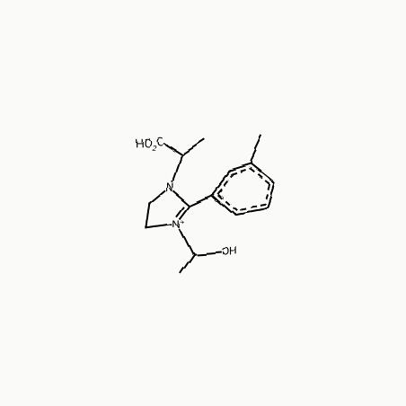 Cc1cccc(C2=[N+](C(C)O)CCN2C(C)C(=O)O)c1